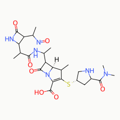 CC(N=O)C1C(=O)NC1C(C)C(=O)NC(C)C1C(=O)N2C(C(=O)O)=C(S[C@@H]3CNC(C(=O)N(C)C)C3)C(C)[C@H]12